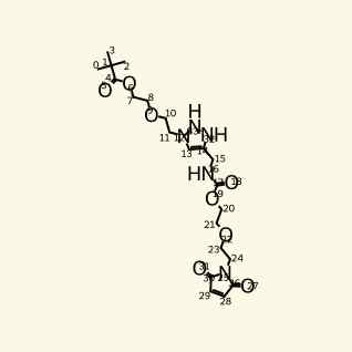 CC(C)(C)C(=O)OCCOCCN1C=C(CNC(=O)OCCOCCN2C(=O)C=CC2=O)NN1